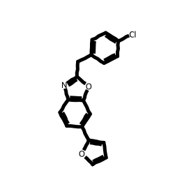 Clc1ccc(Cc2nc3ccc(-c4ccco4)cc3o2)cc1